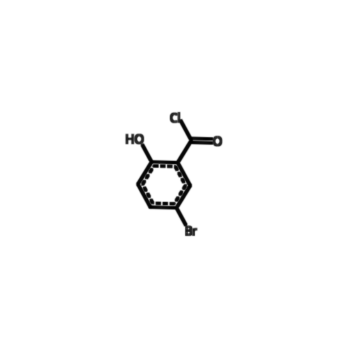 O=C(Cl)c1cc(Br)ccc1O